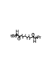 CC(C)NC(=O)CCCCCCC(=O)NC(C)(C)C